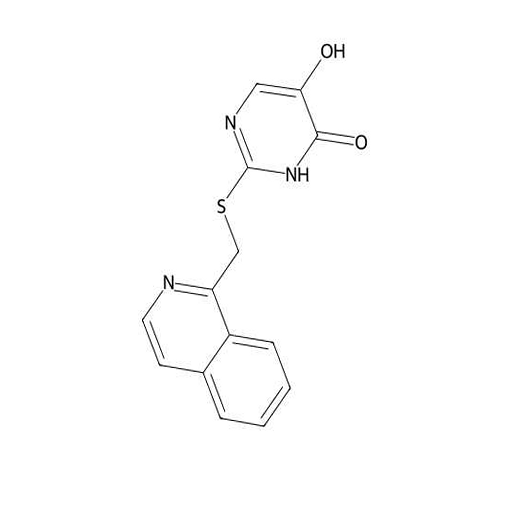 O=c1[nH]c(SCc2nccc3ccccc23)ncc1O